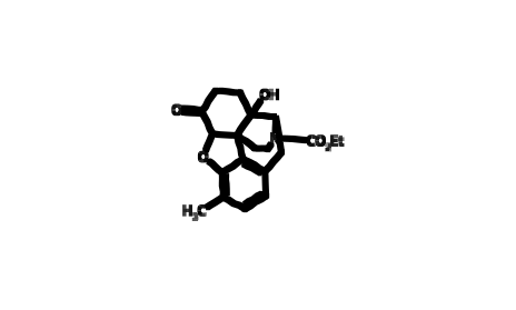 CCOC(=O)N1CCC23c4c5ccc(C)c4OC2C(=O)CCC3(O)C1C5